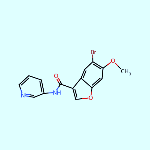 COc1cc2occ(C(=O)Nc3cccnc3)c2cc1Br